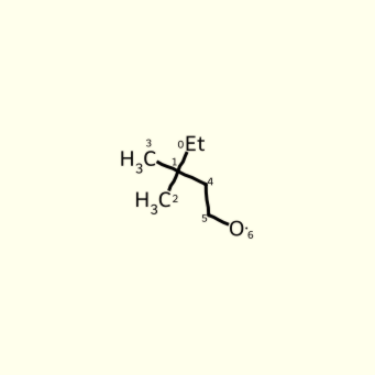 CCC(C)(C)CC[O]